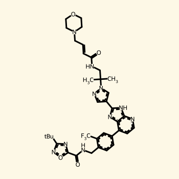 CC(C)(C)c1noc(C(=O)NCc2ccc(-c3ccnc4[nH]c(-c5cnn(C(C)(C)CNC(=O)/C=C/CN6CCOCC6)c5)nc34)cc2C(F)(F)F)n1